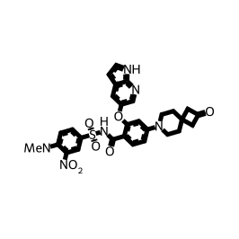 CNc1ccc(S(=O)(=O)NC(=O)c2ccc(N3CCC4(CC3)CC(=O)C4)cc2Oc2cnc3[nH]ccc3c2)cc1[N+](=O)[O-]